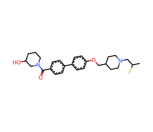 CC(F)CN1CCC(COc2ccc(-c3ccc(C(=O)N4CCCC(O)C4)cc3)cc2)CC1